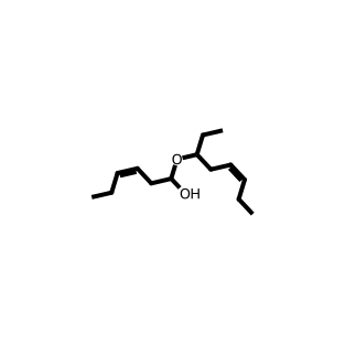 CC/C=C\CC(O)OC(CC)C/C=C\CC